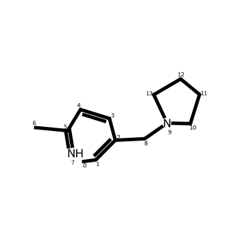 C/C=C(\C=C/C(C)=N)CN1CCCC1